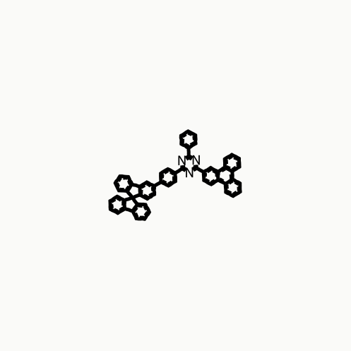 c1ccc(-c2nc(-c3ccc(-c4ccc5c(c4)-c4ccccc4C54c5ccccc5-c5ccccc54)cc3)nc(-c3ccc4c5ccccc5c5ccccc5c4c3)n2)cc1